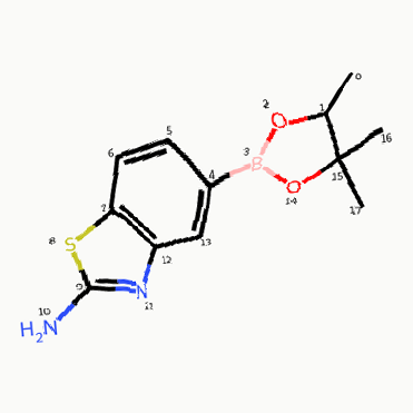 CC1OB(c2ccc3sc(N)nc3c2)OC1(C)C